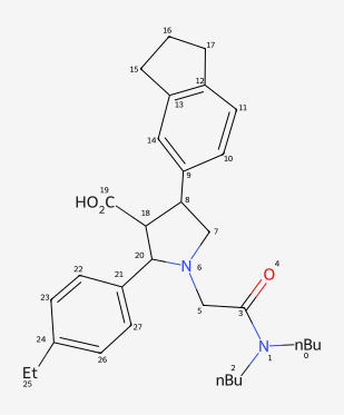 CCCCN(CCCC)C(=O)CN1CC(c2ccc3c(c2)CCC3)C(C(=O)O)C1c1ccc(CC)cc1